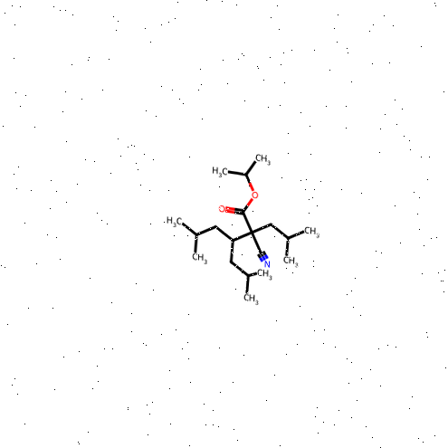 CC(C)CC(CC(C)C)C(C#N)(CC(C)C)C(=O)OC(C)C